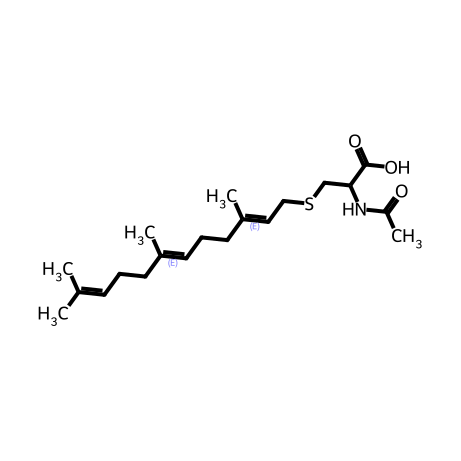 CC(=O)NC(CSC/C=C(\C)CC/C=C(\C)CCC=C(C)C)C(=O)O